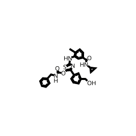 Cc1ccc(C(=O)NC2CC2)cc1Nc1nc(-c2cccc(CO)c2)c(OC(=O)NCc2ccccc2)s1